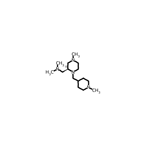 CN(C)C[C@H]1CN(C)CCN1CC1CCN(C)CC1